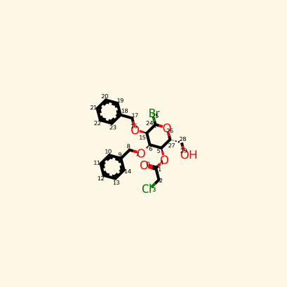 O=C(CCl)O[C@H]1[C@H](OCc2ccccc2)[C@@H](OCc2ccccc2)[C](Br)O[C@@H]1CO